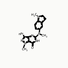 CCCc1nn(C)c2c(=O)[nH]c(N(C)c3ccc4c(ccn4C)c3)nc12